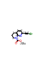 CC(C)(C)OC(=O)N1CCCc2ccc(C#CBr)nc21